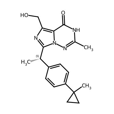 Cc1nn2c([C@@H](C)c3ccc(C4(C)CC4)cc3)nc(CO)c2c(=O)[nH]1